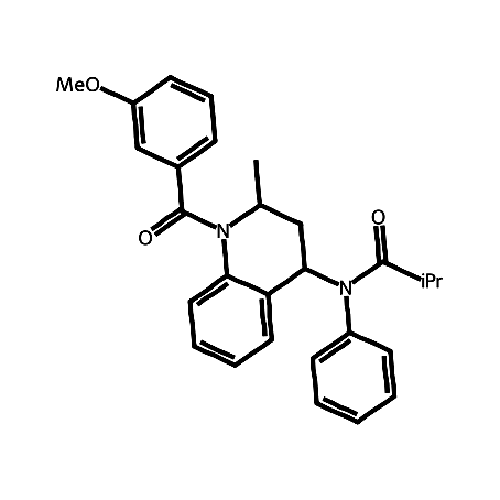 COc1cccc(C(=O)N2c3ccccc3C(N(C(=O)C(C)C)c3ccccc3)CC2C)c1